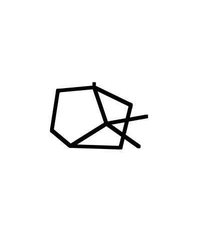 CC1(C)[C]2CCC1CC2